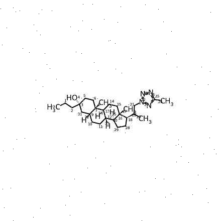 CCC[C@@]1(O)CC[C@@]2(C)[C@H](CC[C@@H]3[C@@H]2CC[C@]2(C)[C@@H](C(C)Cn4nnc(C)n4)CC[C@@H]32)C1